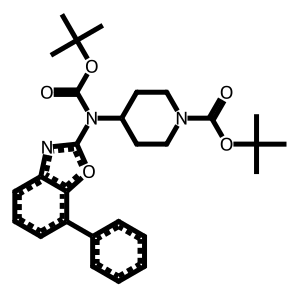 CC(C)(C)OC(=O)N1CCC(N(C(=O)OC(C)(C)C)c2nc3cccc(-c4ccccc4)c3o2)CC1